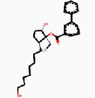 O=C(O)C[C@]1(OC(=O)c2cccc(-c3ccccc3)c2)[C@@H](CCCCCCCCO)CC[C@@H]1O